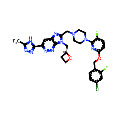 Fc1cc(Cl)ccc1COc1ccc(F)c(N2CCN(Cc3nc4cc(-c5nnc(C(F)(F)F)[nH]5)nnc4n3C[C@@H]3CCO3)CC2)n1